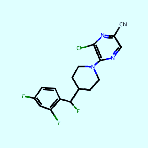 N#Cc1cnc(N2CCC(C(F)c3ccc(F)cc3F)CC2)c(Cl)n1